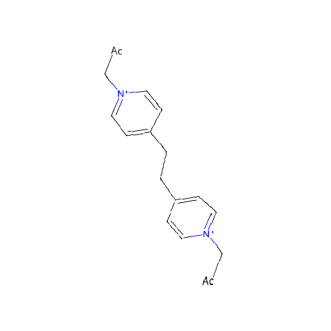 CC(=O)C[n+]1ccc(CCc2cc[n+](CC(C)=O)cc2)cc1